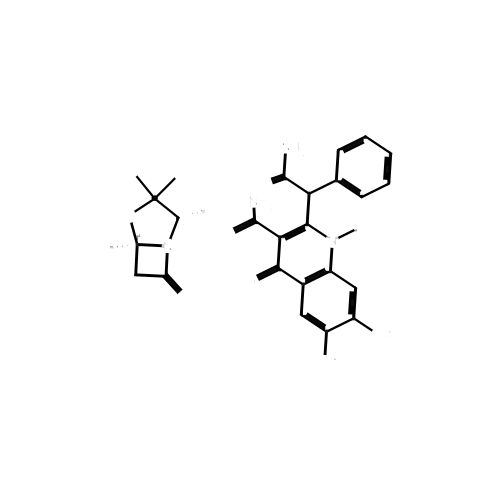 CC1(C)S[C@@H]2CC(=O)N2[C@H]1C(=O)O.CCn1c(C(C(N)=O)c2ccccc2)c(C(N)=O)c(=O)c2cc(OC(C)=O)c(OC(C)=O)cc21